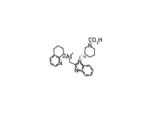 C[As](Cc1nc2ccccc2n1C[C@H]1CCCN(C(=O)O)C1)[C@@H]1CCCc2cccnc21